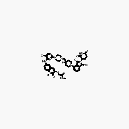 CNC(=O)COc1cc2cc(Nc3nc(N4CCN(CC5(F)CCN(c6cccc7c6C(=O)N(C6CCC(=O)NC6=O)C7O)CC5)CC4)ncc3Cl)ccc2n(C)c1=O